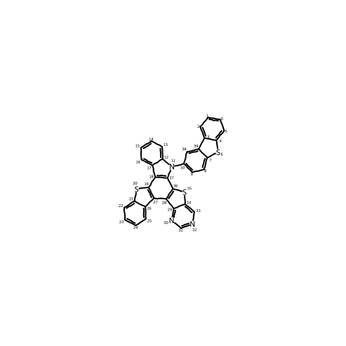 c1ccc2c(c1)sc1ccc(-n3c4ccccc4c4c5sc6ccccc6c5c5c6ncncc6sc5c43)cc12